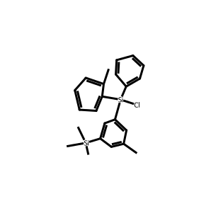 Cc1cc([Si](C)(C)C)cc([Si](Cl)(c2ccccc2)c2ccccc2C)c1